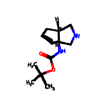 CC(C)(C)OC(=O)N[C@@]12C=CC[C@@H]1CNC2